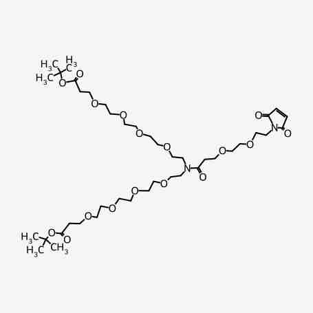 CC(C)(C)OC(=O)CCOCCOCCOCCOCCN(CCOCCOCCOCCOCCC(=O)OC(C)(C)C)C(=O)CCOCCOCCN1C(=O)C=CC1=O